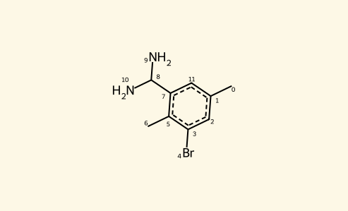 Cc1cc(Br)c(C)c(C(N)N)c1